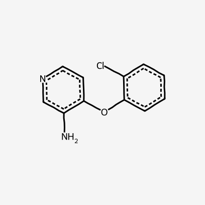 Nc1cnccc1Oc1ccccc1Cl